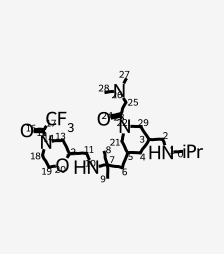 CC(C)NCC1CC(CC(C)(C)NCC2CN(C(=O)C(F)(F)F)CCO2)CN(C(=O)CN(C)C)C1